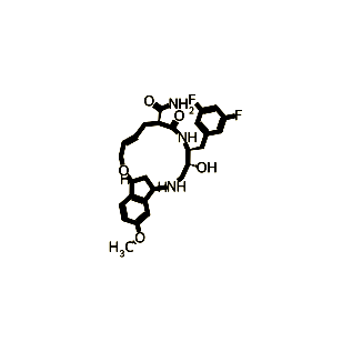 COc1ccc2c(c1)[C@H]1C[C@H]2OC/C=C/C[C@@H](C(N)=O)C(=O)N[C@@H](Cc2cc(F)cc(F)c2)[C@H](O)CN1